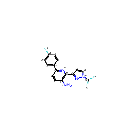 Nc1ccc(-c2ccc(F)cc2)nc1-c1ccn(C(F)F)n1